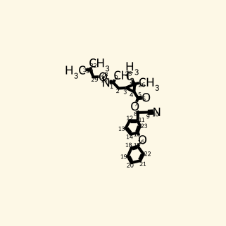 C/C(CC1C(C(=O)OC(C#N)c2cccc(Oc3ccccc3)c2)C1(C)C)=N\OCC(C)C